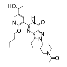 CCCCOc1ncc(C(C)O)cc1-c1nc2c(CC)n(C3CCN(C(C)=O)CC3)nc2c(=O)[nH]1